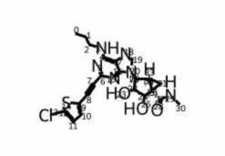 CCCNc1nc(C#Cc2ccc(Cl)s2)nc2c1ncn2[C@H]1C(O)C(O)[C@]2(C(=O)NC)C[C@H]12